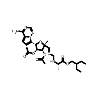 CCC(CC)COC(=O)[C@H](C)NCOC[C@@]1(C)O[C@@H](c2ccc3c(N)ncnn23)[C@H](OC(C)=O)[C@@H]1OC(C)=O